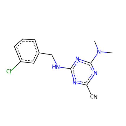 CN(C)c1nc(C#N)nc(NCc2cccc(Cl)c2)n1